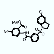 COC(=O)c1cc(Br)ccc1NC(=O)c1cccc(S(=O)(=O)N2CCc3cc(Cl)ccc32)c1